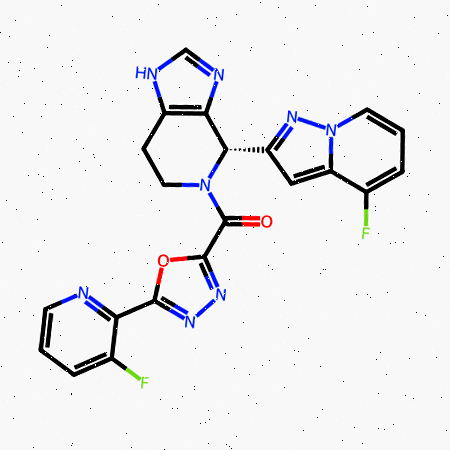 O=C(c1nnc(-c2ncccc2F)o1)N1CCc2[nH]cnc2[C@@H]1c1cc2c(F)cccn2n1